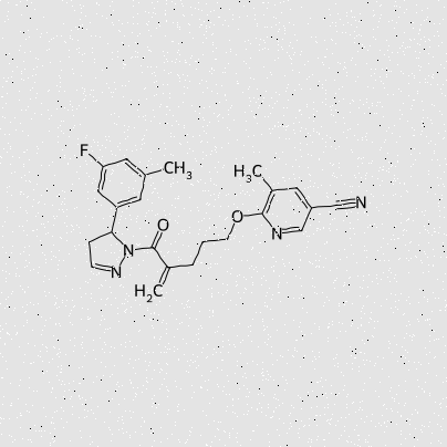 C=C(CCCOc1ncc(C#N)cc1C)C(=O)N1N=CCC1c1cc(C)cc(F)c1